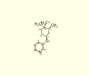 C[C@H]1C[C@@H](Oc2cccnc2)CCC1(C)C